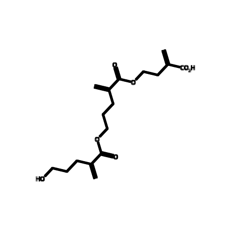 C=C(CCOC(=O)C(=C)CCCOC(=O)C(=C)CCCO)C(=O)O